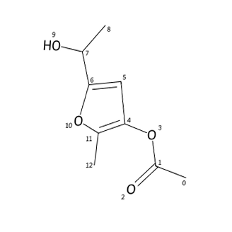 CC(=O)Oc1cc(C(C)O)oc1C